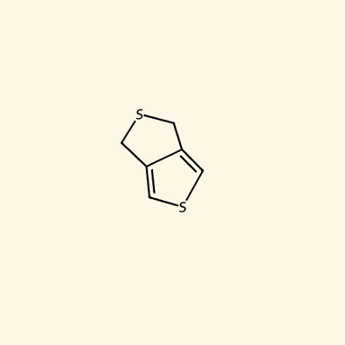 c1scc2c1CSC2